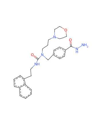 NNC(=O)c1ccc(CN(CCCN2CCOCC2)C(=O)NCCc2cccc3ccccc23)cc1